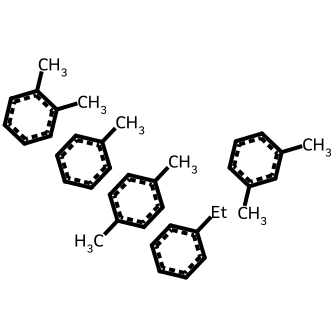 CCc1ccccc1.Cc1ccc(C)cc1.Cc1cccc(C)c1.Cc1ccccc1.Cc1ccccc1C